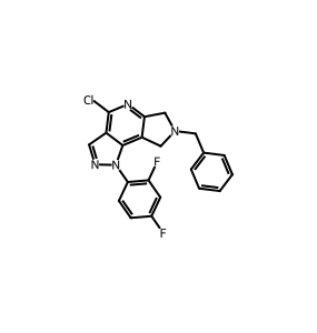 Fc1ccc(-n2ncc3c(Cl)nc4c(c32)CN(Cc2ccccc2)C4)c(F)c1